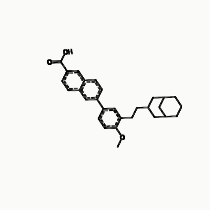 COc1ccc(-c2ccc3cc(C(=O)O)ccc3c2)cc1CCC1CC2CCCC(C2)C1